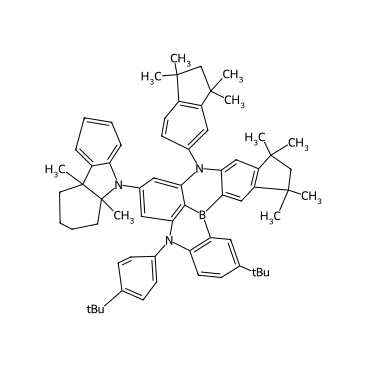 CC(C)(C)c1ccc(N2c3ccc(C(C)(C)C)cc3B3c4cc5c(cc4N(c4ccc6c(c4)C(C)(C)CC6(C)C)c4cc(N6c7ccccc7C7(C)CCCCC67C)cc2c43)C(C)(C)CC5(C)C)cc1